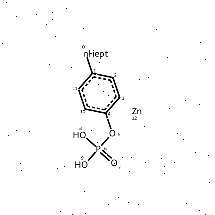 CCCCCCCc1ccc(OP(=O)(O)O)cc1.[Zn]